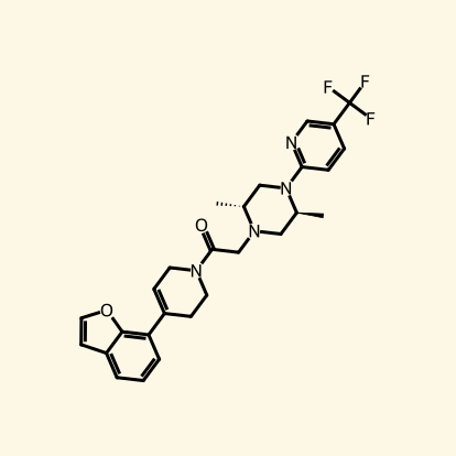 C[C@@H]1CN(c2ccc(C(F)(F)F)cn2)[C@@H](C)CN1CC(=O)N1CC=C(c2cccc3ccoc23)CC1